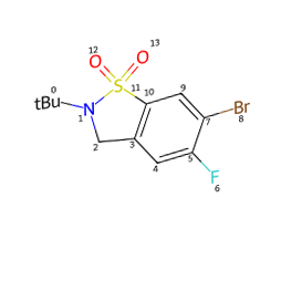 CC(C)(C)N1Cc2cc(F)c(Br)cc2S1(=O)=O